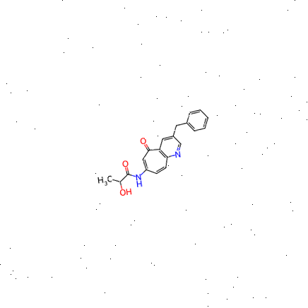 CC(O)C(=O)Nc1ccc2ncc(Cc3ccccc3)cc2c(=O)c1